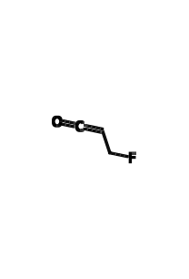 O=C=CCF